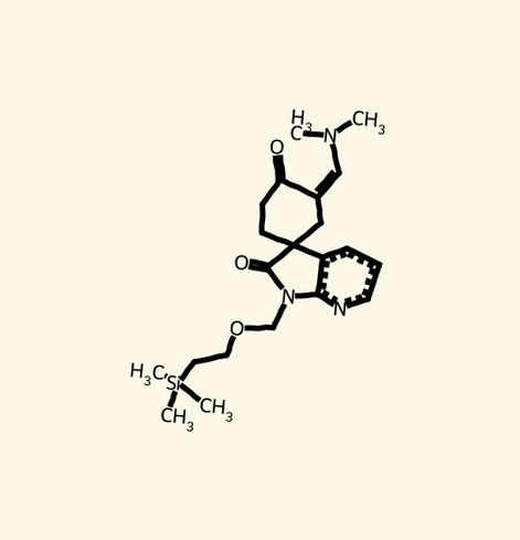 CN(C)C=C1CC2(CCC1=O)C(=O)N(COCC[Si](C)(C)C)c1ncccc12